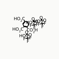 O=C(O)c1ccc(C(=O)O)c(C(=O)O)c1.O=S(=O)(O)C(F)(F)F.O=S(=O)(O)C(F)(F)F.O=S(=O)(O)C(F)(F)F